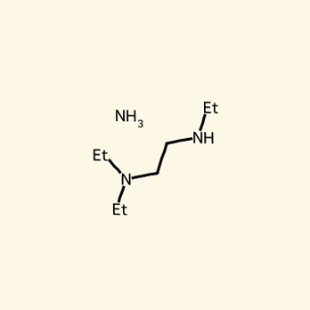 CCNCCN(CC)CC.N